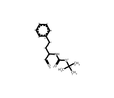 CC(C)(C)OC(=O)NC(C=O)CCc1ccccc1